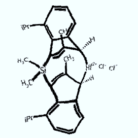 CC1=C2c3c(C(C)C)cccc3[C@@H]1[Hf+2][C@H]1C(C)=C(c3c(C(C)C)cccc31)[Si]2(C)C.[Cl-].[Cl-]